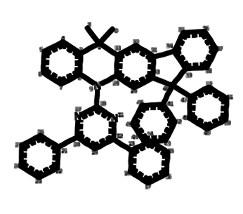 CC1(C)c2ccccc2N(c2nc(-c3ccccc3)cc(-c3ccccc3)n2)c2cc3c(cc21)-c1ccccc1C3(c1ccccc1)c1ccccc1